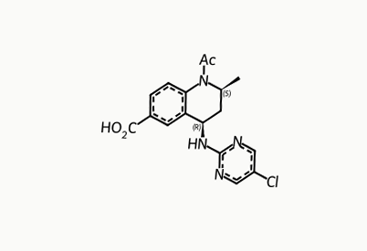 CC(=O)N1c2ccc(C(=O)O)cc2[C@H](Nc2ncc(Cl)cn2)C[C@@H]1C